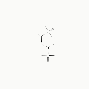 CC(SC(C)P(=O)(O)O)P(=O)(O)O